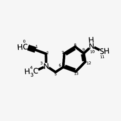 C#CCN(C)Cc1ccc(NS)cc1